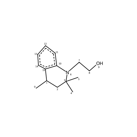 CC1CC(C)(C)N(CCO)c2ccccc21